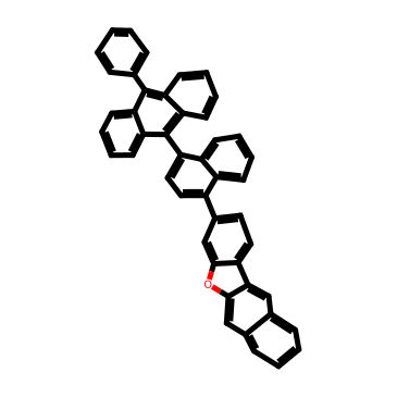 c1ccc(-c2c3ccccc3c(-c3ccc(-c4ccc5c(c4)oc4cc6ccccc6cc45)c4ccccc34)c3ccccc23)cc1